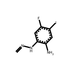 C=NNc1cc(F)c(I)cc1N